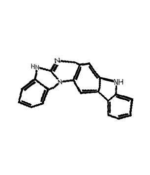 c1ccc2c(c1)[nH]c1cc3nc4[nH]c5ccccc5n4c3cc12